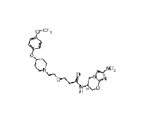 O=C(CCOCCN1CCC(Oc2ccc(OC(F)(F)F)cc2)CC1)N[C@@H]1COc2nc([N+](=O)[O-])cn2C1